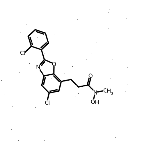 CN(O)C(=O)CCc1cc(Cl)cc2nc(-c3ccccc3Cl)oc12